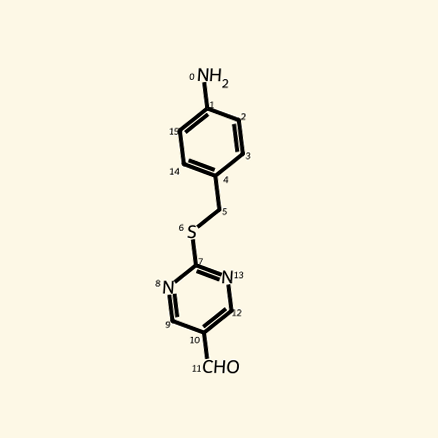 Nc1ccc(CSc2ncc(C=O)cn2)cc1